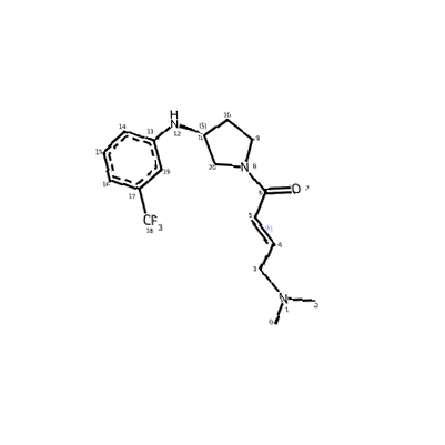 CN(C)C/C=C/C(=O)N1CC[C@H](Nc2cccc(C(F)(F)F)c2)C1